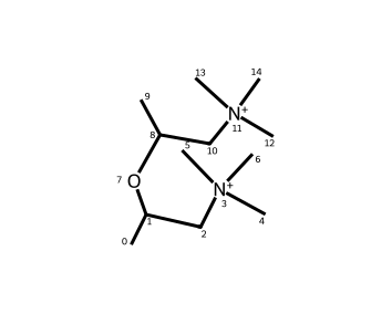 CC(C[N+](C)(C)C)OC(C)C[N+](C)(C)C